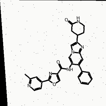 Cc1cc(-c2nc(C(=O)Nc3cn4cc(C5CCNC(=O)C5)nc4cc3-c3ccccc3)co2)ccn1